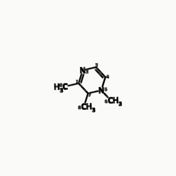 CC1=NC=CN(C)C1C